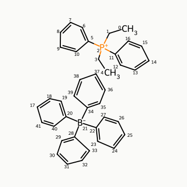 CC[P+](CC)(c1ccccc1)c1ccccc1.c1ccc([B-](c2ccccc2)(c2ccccc2)c2ccccc2)cc1